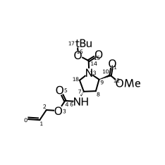 C=CCOC(=O)N[C@H]1C[C@H](C(=O)OC)N(C(=O)OC(C)(C)C)C1